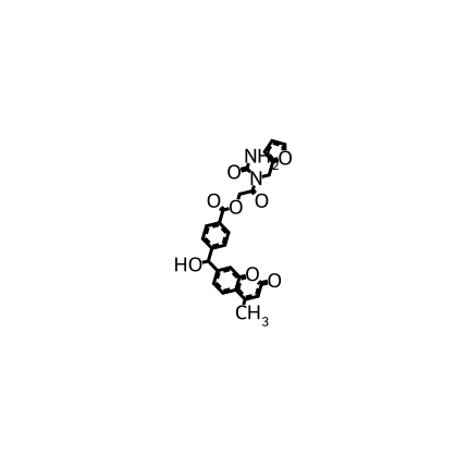 Cc1cc(=O)oc2cc(C(O)c3ccc(C(=O)OCC(=O)N(Cc4ccco4)C(N)=O)cc3)ccc12